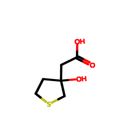 O=C(O)CC1(O)CCSC1